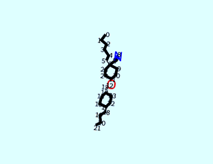 CCCCCC[C@]1(C#N)CC[C@H](OC[C@H]2CC[C@H](CCCC)CC2)CC1